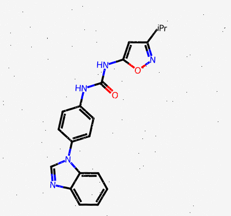 CC(C)c1cc(NC(=O)Nc2ccc(-n3cnc4ccccc43)cc2)on1